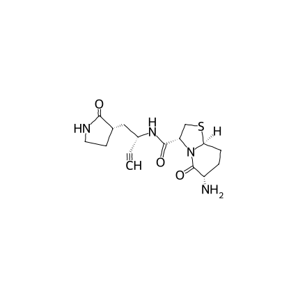 C#C[C@H](C[C@@H]1CCNC1=O)NC(=O)[C@@H]1CS[C@H]2CC[C@H](N)C(=O)N21